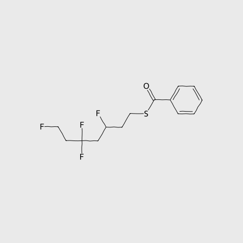 O=C(SCCC(F)CC(F)(F)CCF)c1ccccc1